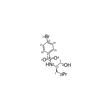 CC(C)C[C@H](CO)NS(=O)(=O)c1ccc(Br)cc1